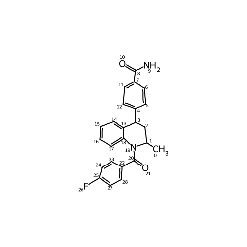 CC1CC(c2ccc(C(N)=O)cc2)c2ccccc2N1C(=O)c1ccc(F)cc1